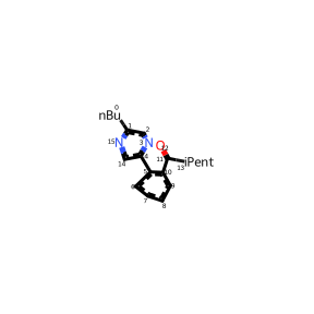 CCCCc1cnc(-c2ccccc2C(=O)C(C)CCC)cn1